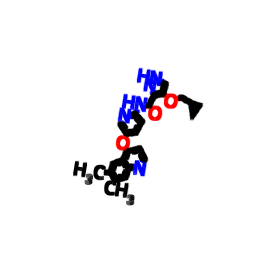 Cc1cc2nccc(Oc3ccc(NC(=O)c4n[nH]cc4OCC4CC4)nc3)c2cc1C